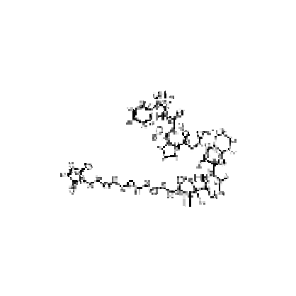 COC(CC(=O)N1CCC[C@H]1[C@H](OC)[C@@H](C)C(=O)N[C@H](C)[C@@H](O)c1ccccc1)[C@H](C1CCCCC1)N(C)C(=O)[C@H](NC(=O)C(C)(C)NC(=O)CCOCCOCCOCCN1C(=O)C=CC1=O)C(C)C